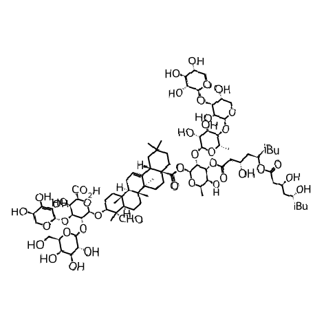 CC[C@H](C)[C@H](C[C@H](O)CC(=O)O[C@H]1[C@@H](O)[C@@H](C)O[C@@H](OC(=O)[C@]23CCC(C)(C)C[C@H]2C2=CC[C@@H]4[C@@]5(C)CC[C@H](O[C@@H]6O[C@H](C(=O)O)[C@@H](O)[C@H](O[C@@H]7OC[C@@H](O)C(O)=C7O)[C@H]6O[C@@H]6O[C@H](CO)[C@H](O)[C@H](O)[C@H]6O)[C@@](C)(C=O)[C@@H]5CC[C@@]4(C)[C@]2(C)CC3)[C@@H]1O[C@@H]1O[C@@H](C)[C@H](O[C@@H]2OC[C@@H](O)[C@H](O[C@@H]3OC[C@@H](O)[C@H](O)[C@H]3O)[C@H]2O)[C@@H](O)[C@H]1O)OC(=O)C[C@@H](O)C[C@H](O)[C@@H](C)CC